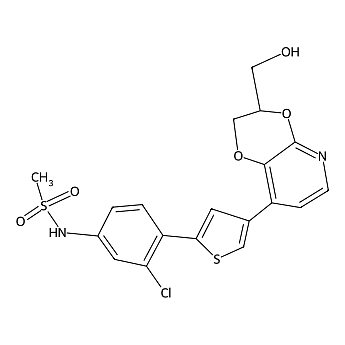 CS(=O)(=O)Nc1ccc(-c2cc(-c3ccnc4c3OCC(CO)O4)cs2)c(Cl)c1